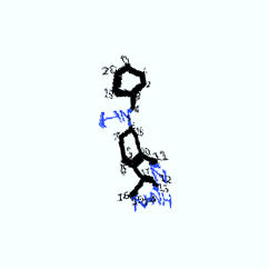 c1ccc(CNC2CCc3c(cnc4[nH]ncc34)C2)cc1